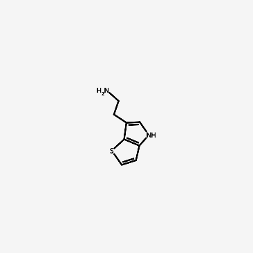 NCCc1c[nH]c2ccsc12